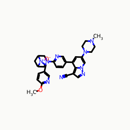 COc1ccc(C[N+]2([O-])C3CC2CN(c2ccc(-c4cc(N5CCN(C)CC5)cn5ncc(C#N)c45)cn2)C3)cn1